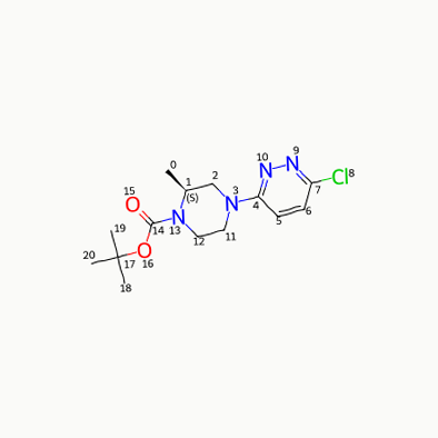 C[C@H]1CN(c2ccc(Cl)nn2)CCN1C(=O)OC(C)(C)C